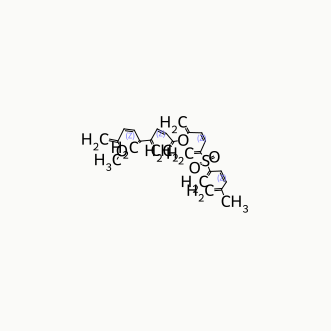 C=C(C)/C=C\C(=C)S(=O)(=O)C(=C)/C=C\C(=C)OC(=C)/C=C\C(=C)C(=C)/C=C\C(=C)OC